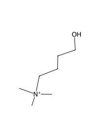 C[N+](C)(C)CCCCO